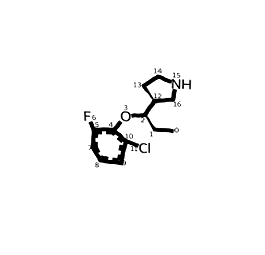 CC[C@@H](Oc1c(F)cccc1Cl)[C@H]1CCNC1